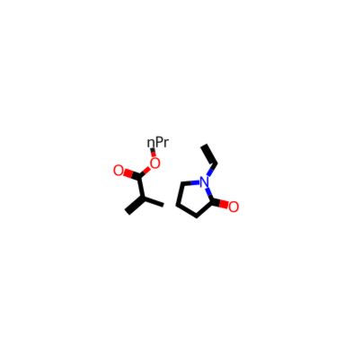 C=C(C)C(=O)OCCC.C=CN1CCCC1=O